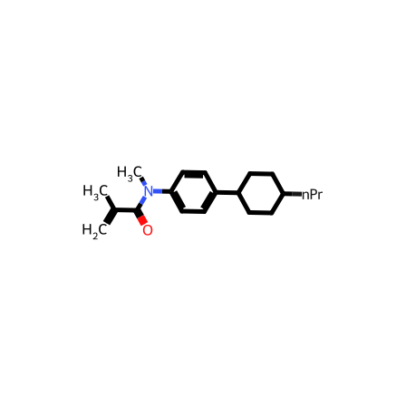 C=C(C)C(=O)N(C)c1ccc(C2CCC(CCC)CC2)cc1